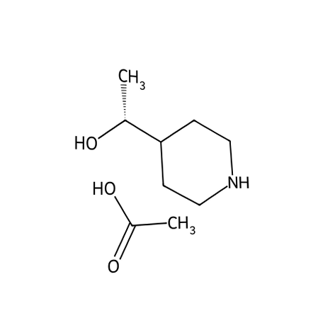 CC(=O)O.C[C@@H](O)C1CCNCC1